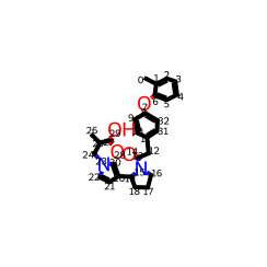 Cc1ccccc1Oc1ccc(CC(=O)N2CCCC2c2ccn(CC(C)C(=O)O)c2)cc1